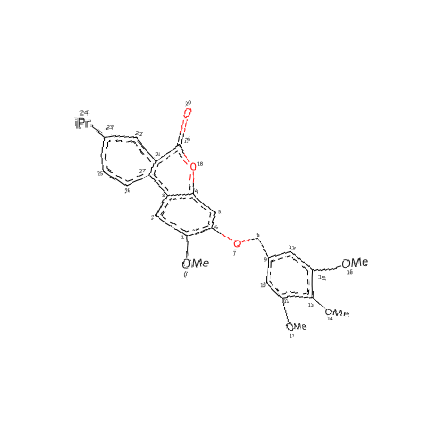 COc1cc2c(cc1OCc1cc(OC)c(OC)c(OC)c1)oc(=O)c1cc(C(C)C)ccc12